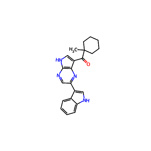 CC1(C(=O)c2c[nH]c3ncc(-c4c[nH]c5ccccc45)nc23)CCCCC1